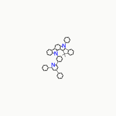 CC1(C)c2ccccc2-c2c1c1c(ccc3c4ccccc4n(-c4cccc(-c5cc(-c6ccccc6)cc(-c6ccccc6)n5)c4)c31)n2-c1ccccc1